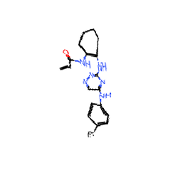 C=CC(=O)N[C@H]1CCCC[C@@H]1Nc1nncc(Nc2ccc(C(C)C)cc2)n1